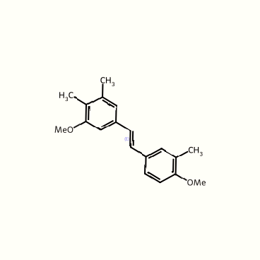 COc1ccc(/C=C/c2cc(C)c(C)c(OC)c2)cc1C